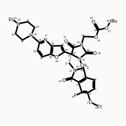 CCOc1ccc2c(c1F)C(=O)N(C[C@]1(c3cc4nc(N5CCN(CC)CC5)ccc4o3)C(=O)N(COC(=O)OC(C)(C)C)C(=O)N1C)C2